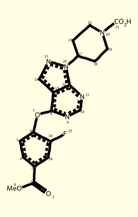 COC(=O)c1ccc(Oc2ncnc3c2cnn3C2CCN(C(=O)O)CC2)c(F)c1